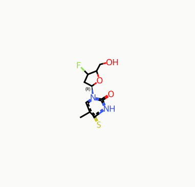 Cc1cn([C@H]2CC(F)C(CO)O2)c(=O)[nH]c1=S